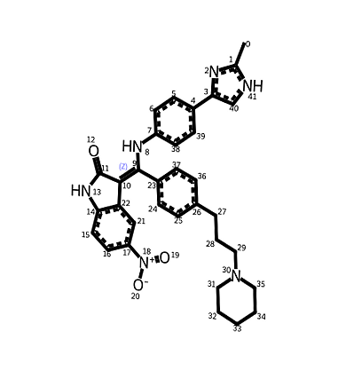 Cc1nc(-c2ccc(N/C(=C3\C(=O)Nc4ccc([N+](=O)[O-])cc43)c3ccc(CCCN4CCCCC4)cc3)cc2)c[nH]1